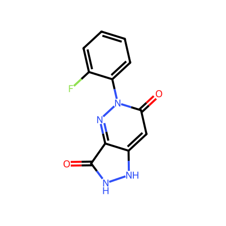 O=c1[nH][nH]c2cc(=O)n(-c3ccccc3F)nc12